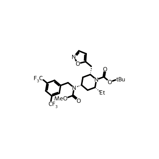 CC[C@@H]1C[C@H](N(Cc2cc(C(F)(F)F)cc(C(F)(F)F)c2)C(=O)OC)C[C@H](Cc2ccno2)N1C(=O)OC(C)(C)C